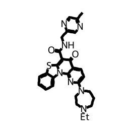 CCN1CCCN(c2ccc3c(=O)c(C(=O)NCc4cnc(C)cn4)c4sc5ccccc5n4c3n2)CC1